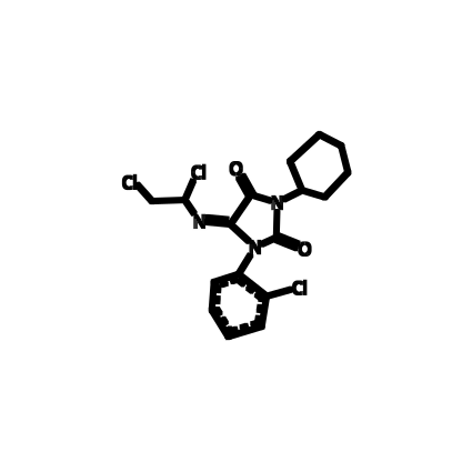 O=C1C(=NC(Cl)CCl)N(c2ccccc2Cl)C(=O)N1C1CCCCC1